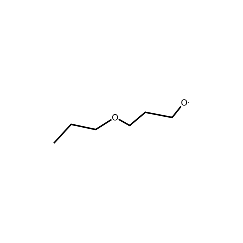 CCCOCCC[O]